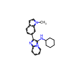 Cn1ccc2ccc(-c3nc4ccccn4c3NC3CCCCC3)cc21